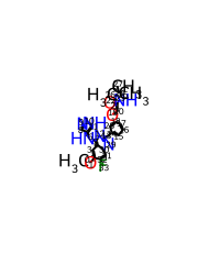 COc1cc2c(Nc3cn[nH]c3)nc(-c3cccc(OCC(=O)NC(C)(C)C)c3)nc2cc1F